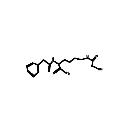 CC(C)(C)OC(=O)NCCCCC(NC(=O)Cc1ccccc1)C(N)=S